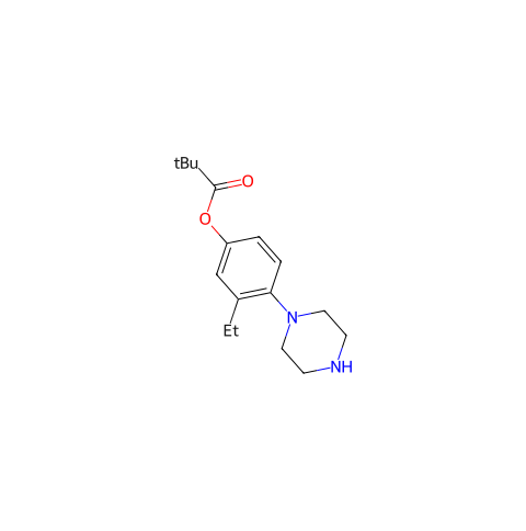 CCc1cc(OC(=O)C(C)(C)C)ccc1N1CCNCC1